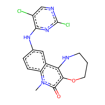 Cn1c(=O)c2c(c3cc(Nc4nc(Cl)ncc4Cl)ccc31)NCCCO2